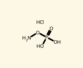 Cl.NOP(=O)(O)O